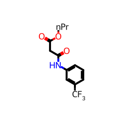 CCCOC(=O)CC(=O)Nc1cccc(C(F)(F)F)c1